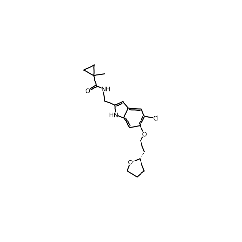 CC1(C(=O)NCc2cc3cc(Cl)c(OCC[C@@H]4CCCO4)cc3[nH]2)CC1